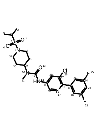 CC(C)S(=O)(=O)N1CCC(N(C)C(=O)Nc2cnc(-c3cc(F)cc(F)c3)c(Cl)c2)CC1